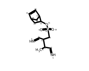 CC(C=N)C(C=N)CS(=O)(=O)OC1CC2C=CC1C2